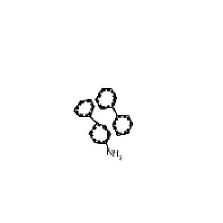 Nc1ccc(-c2ccccc2)cc1.c1ccc(-c2ccccc2)cc1